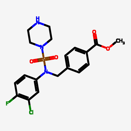 COC(=O)c1ccc(CN(c2ccc(F)c(Cl)c2)S(=O)(=O)N2CCNCC2)cc1